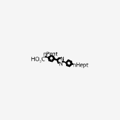 CCCCCCCc1ccc(-c2ncc(-c3ccc(C(CCCCC)C(=O)O)cc3)cn2)cc1